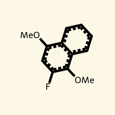 COc1cc(F)c(OC)c2ccccc12